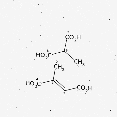 CC(=CC(=O)O)C(=O)O.CC(C(=O)O)C(=O)O